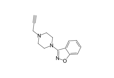 C#CCN1CCN(c2noc3ccccc23)CC1